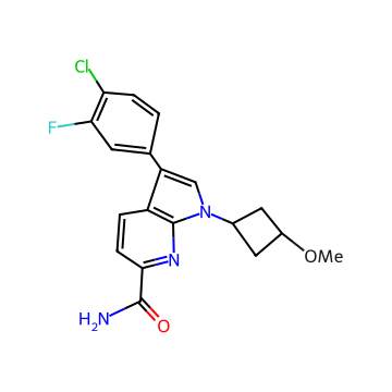 COC1CC(n2cc(-c3ccc(Cl)c(F)c3)c3ccc(C(N)=O)nc32)C1